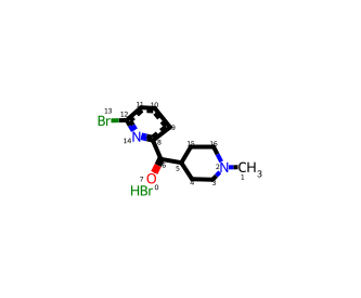 Br.CN1CCC(C(=O)c2cccc(Br)n2)CC1